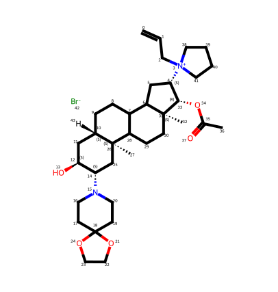 C=CC[N+]1([C@H]2CC3C4CC[C@H]5C[C@H](O)[C@@H](N6CCC7(CC6)OCCO7)C[C@]5(C)C4CC[C@]3(C)[C@H]2OC(C)=O)CCCC1.[Br-]